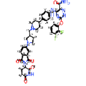 NC(=O)c1nnc(Oc2cccc(F)c2F)nc1Nc1ccc(C2CCN(CC3CCN(c4ccc5c(c4)C(=O)N(C4CCC(=O)NC4=O)C5=O)C3)CC2)cc1